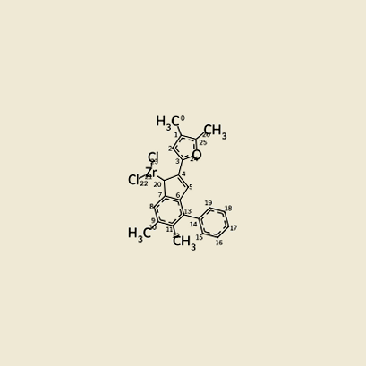 Cc1cc(C2=Cc3c(cc(C)c(C)c3-c3ccccc3)[CH]2[Zr]([Cl])[Cl])oc1C